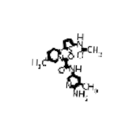 CC(=O)Nc1ccc([C@H]2CC[C@H](C)CN2C(=O)C(=O)Nc2cnc(N)c(C)c2)s1